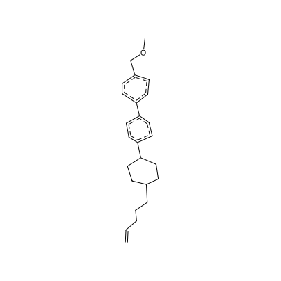 C=CCCCC1CCC(c2ccc(-c3ccc(COC)cc3)cc2)CC1